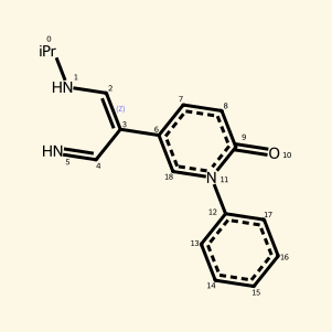 CC(C)N/C=C(\C=N)c1ccc(=O)n(-c2ccccc2)c1